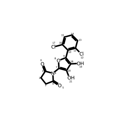 O=C1CCC(=O)N1c1oc(-c2c(Cl)cccc2Cl)c(O)c1O